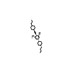 CCCC[C@H]1CC[C@H](c2cc(F)c(C#CC3CCC(CCC)CC3)c(F)c2)CC1